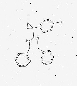 Clc1ccc(C2(C3=NC(c4ccccc4)C(c4ccccc4)N3)CC2)cc1